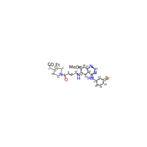 CCOC(=O)CC1CCN(C(=O)C=CCNc2cc3c(Nc4cccc(Br)c4)ncnc3cc2OC)CC1